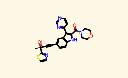 C[C@@](O)(C#Cc1ccc2[nH]c(C(=O)N3CCOCC3)c(-c3ccncn3)c2c1)c1nccs1